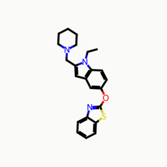 CCn1c(CN2CCCCC2)cc2cc(Oc3nc4ccccc4s3)ccc21